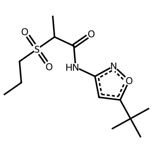 CCCS(=O)(=O)C(C)C(=O)Nc1cc(C(C)(C)C)on1